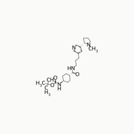 CN1CCC[C@H]1c1cncc(CCCNC(=O)[C@H]2CC[C@H](NC(=O)OC(C)(C)C)CC2)c1